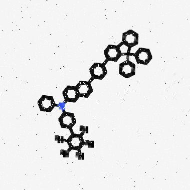 [2H]c1c([2H])c([2H])c(-c2ccc(N(c3ccccc3)c3ccc4cc(-c5ccc(-c6ccc7c(c6)C(c6ccccc6)(c6ccccc6)c6ccccc6-7)cc5)ccc4c3)cc2)c([2H])c1[2H]